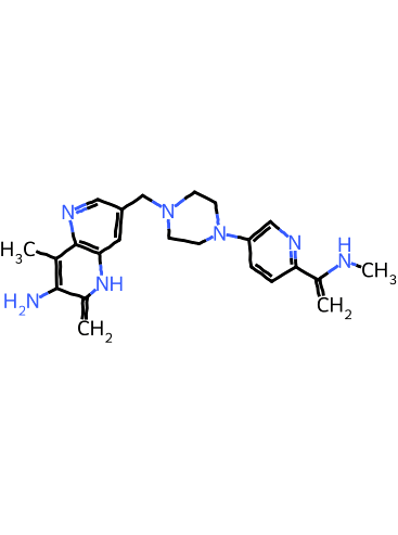 C=C1Nc2cc(CN3CCN(c4ccc(C(=C)NC)nc4)CC3)cnc2C(C)=C1N